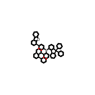 c1ccc(-c2cccc3cccc(-c4ccccc4N(c4ccc(-c5cccc6c5oc5ccccc56)cc4)c4cccc5c4-c4ccccc4C5(c4ccccc4)c4ccccc4)c23)cc1